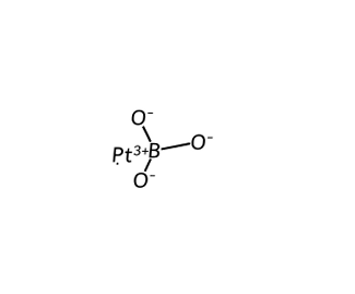 [O-]B([O-])[O-].[Pt+3]